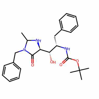 CC1N[C@@H]([C@@H](O)[C@H](Cc2ccccc2)NC(=O)OC(C)(C)C)C(=O)N1Cc1ccccc1